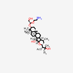 CC(=O)O[C@@H]([C@H]1C[C@@H](C)[C@H]2[C@H](O1)[C@H](O)[C@@]1(C)[C@@H]3CC[C@@]4(C)C(C)(C)[C@@H](O[C@@H](CO)OCCN)CC[C@@]45C[C@@]35CC[C@]21C)C(C)(C)O